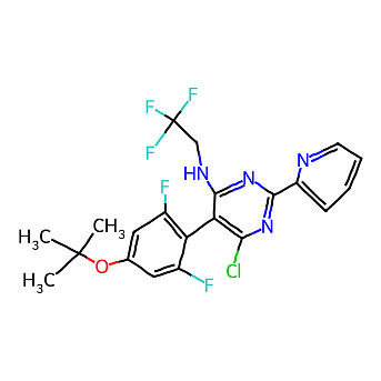 CC(C)(C)Oc1cc(F)c(-c2c(Cl)nc(-c3ccccn3)nc2NCC(F)(F)F)c(F)c1